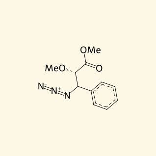 COC(=O)[C@@H](OC)C(N=[N+]=[N-])c1ccccc1